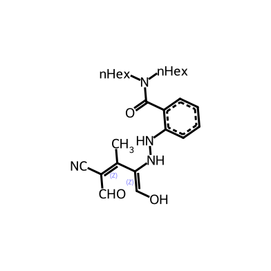 CCCCCCN(CCCCCC)C(=O)c1ccccc1NNC(=C\O)/C(C)=C(/C#N)C=O